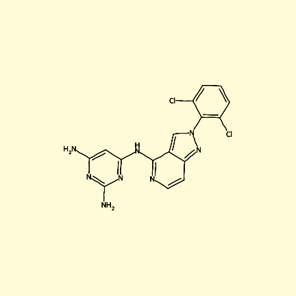 Nc1cc(Nc2nccc3nn(-c4c(Cl)cccc4Cl)cc23)nc(N)n1